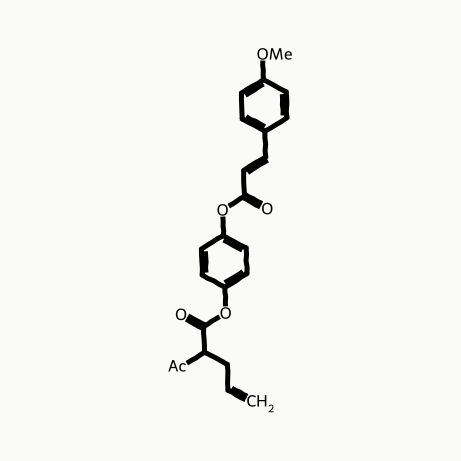 C=CCC(C(C)=O)C(=O)Oc1ccc(OC(=O)C=Cc2ccc(OC)cc2)cc1